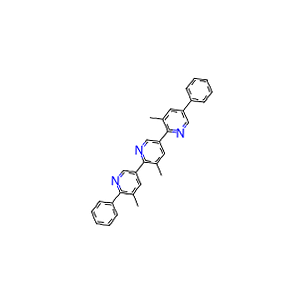 Cc1cc(-c2ccccc2)cnc1-c1cnc(-c2cnc(-c3ccccc3)c(C)c2)c(C)c1